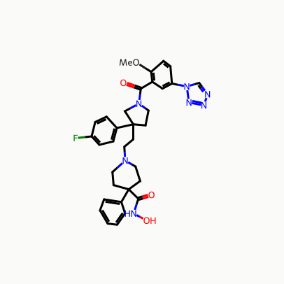 COc1ccc(-n2cnnn2)cc1C(=O)N1CCC(CCN2CCC(C(=O)NO)(c3ccccc3)CC2)(c2ccc(F)cc2)C1